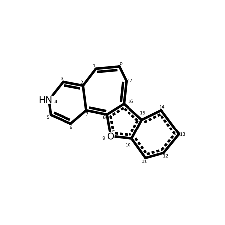 C1=CC2=CNC=CC2=c2oc3ccccc3c2=C1